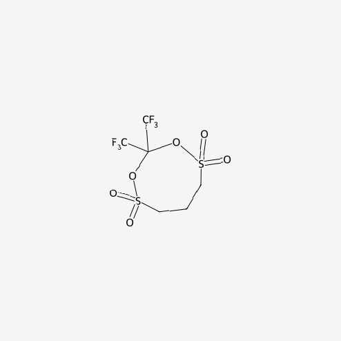 O=S1(=O)CCCS(=O)(=O)OC(C(F)(F)F)(C(F)(F)F)O1